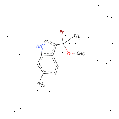 CC(Br)(OC=O)c1c[nH]c2cc([N+](=O)[O-])ccc12